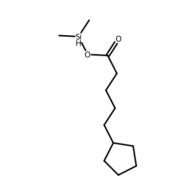 C[SiH](C)OC(=O)CCCCC1CCCC1